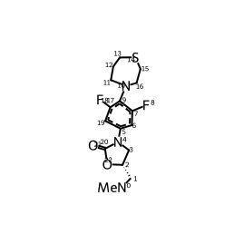 CNC[C@H]1CN(c2cc(F)c(N3CCCSCC3)c(F)c2)C(=O)O1